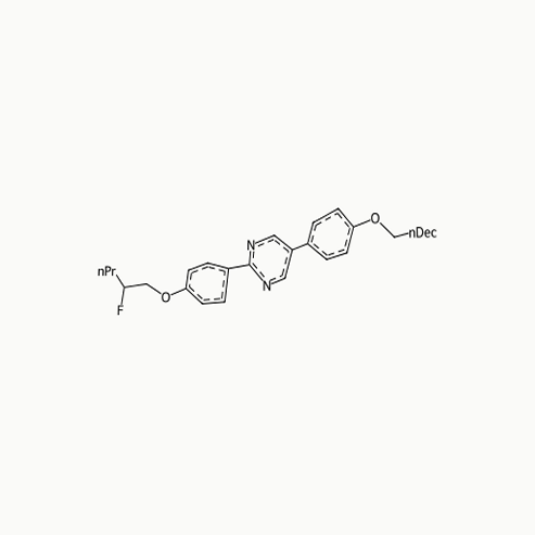 CCCCCCCCCCCOc1ccc(-c2cnc(-c3ccc(OCC(F)CCC)cc3)nc2)cc1